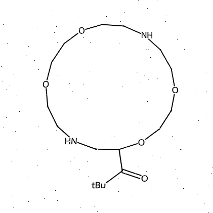 CC(C)(C)C(=O)C1CNCCOCCOCCNCCOCCO1